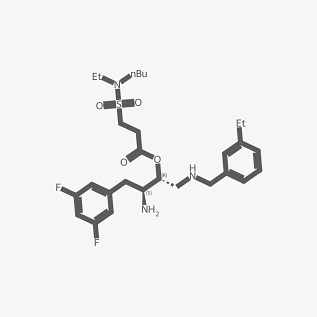 CCCCN(CC)S(=O)(=O)CCC(=O)O[C@H](CNCc1cccc(CC)c1)[C@@H](N)Cc1cc(F)cc(F)c1